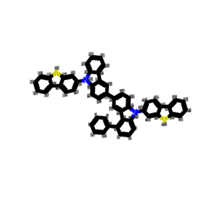 c1ccc(-c2cccc3c2c2cc(-c4ccc5c(c4)c4ccccc4n5-c4ccc5c(c4)sc4ccccc45)ccc2n3-c2ccc3c(c2)sc2ccccc23)cc1